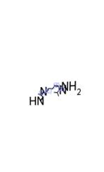 C/C(C=N)=N/C=C/C/C=C\C(=N/N)C(C)C